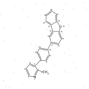 Cc1ncccc1-c1ccc(-c2ccc3oc4ccccc4c3c2)cc1